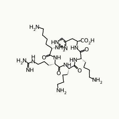 N=C(N)NCCC[C@H](NC(=O)[C@@H](N)CCCCN)C(=O)N[C@@H](CCCCN)C(=O)N[C@@H](CCCCN)C(=O)N[C@@H](Cc1c[nH]cn1)C(=O)O